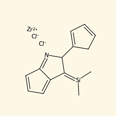 C[Si](C)=C1C2=CC=CC2=NC1C1=CC=CC1.[Cl-].[Cl-].[Zr+2]